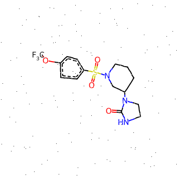 O=C1NCCN1C1CCCN(S(=O)(=O)c2ccc(OC(F)(F)F)cc2)C1